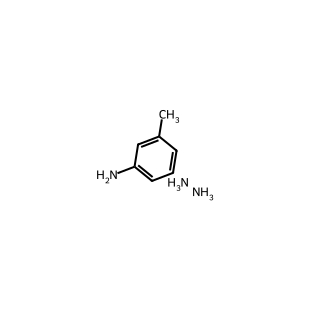 Cc1cccc(N)c1.N.N